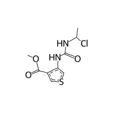 COC(=O)c1cscc1NC(=O)NC(C)Cl